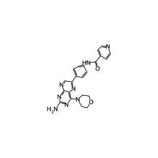 Nc1nc(N2CCOCC2)c2nc(-c3ccc(NC(=O)c4ccncc4)cc3)cnc2n1